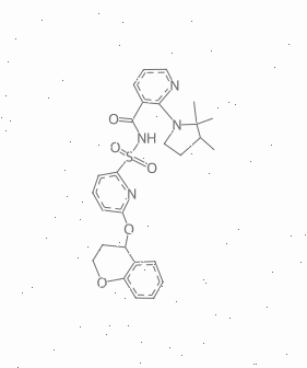 CC1CCN(c2ncccc2C(=O)NS(=O)(=O)c2cccc(OC3CCOc4ccccc43)n2)C1(C)C